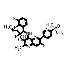 C=CCC(C)(F)C(Nc1c(Cl)c(C)nc2cc(F)c(-c3ccc(P(C)(C)=O)nc3)nc12)c1cccc(F)c1F